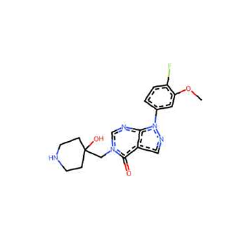 COc1cc(-n2ncc3c(=O)n(CC4(O)CCNCC4)cnc32)ccc1F